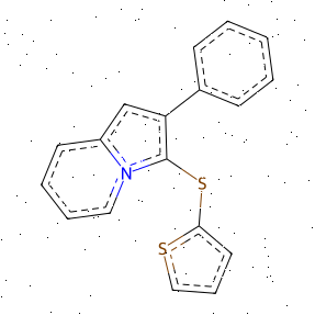 c1ccc(-c2cc3ccccn3c2Sc2cccs2)cc1